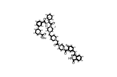 C[C@@H]1CN(CC2CCN(CC(=O)N3CCN(C(=O)c4cc(Cc5n[nH]c(=O)c6ccccc56)ccc4F)CC3)CC2)CCN1C(=O)[C@H](NC(=O)c1cccc([C@@H]2CCCN(C(=O)C(C)(C)C)C2)c1)C1CCCCC1